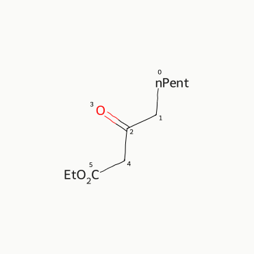 CCCCCCC(=O)CC(=O)OCC